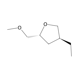 CC[C@@H]1CO[C@@H](COC)C1